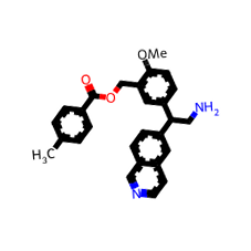 COc1ccc(C(CN)c2ccc3cnccc3c2)cc1COC(=O)c1ccc(C)cc1